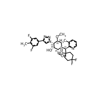 CO[C@H]1C[SH]([C@@H](c2ncccc2C)C2(O)CCC(F)(F)CC2)[C@H](CO)[C@H](O)[C@@H]1n1cc(-c2cc(F)c(C)c(F)c2)nn1